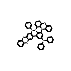 c1ccc(N2B3c4cccc5c4N(c4ccccc4O5)c4cc(N(c5ccccc5)c5ccccc5)cc(c43)-c3cc4c(cc32)Sc2ccccc2O4)cc1